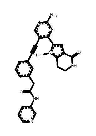 Cn1c(-c2nc(N)ncc2C#Cc2cccc(CC(=O)Nc3cccnc3)c2)cc2c1CCNC2=O